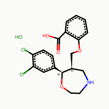 Cl.O=C(O)c1ccccc1OC[C@H]1CNCCO[C@H]1c1ccc(Cl)c(Cl)c1